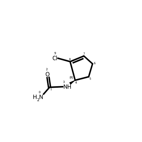 NC(=O)N[C@@H]1CCC=C1Cl